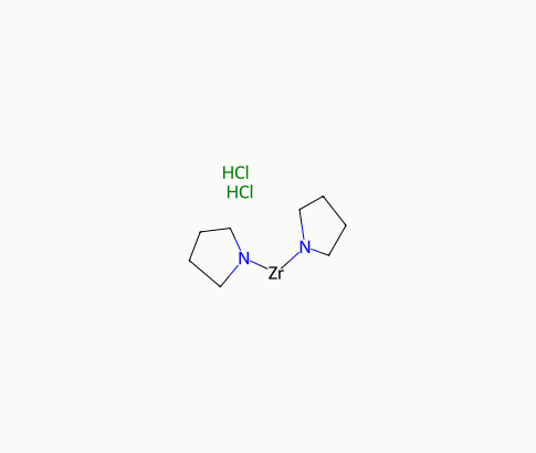 C1CC[N]([Zr][N]2CCCC2)C1.Cl.Cl